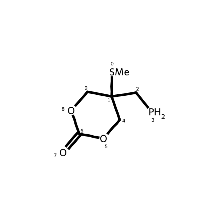 CSC1(CP)COC(=O)OC1